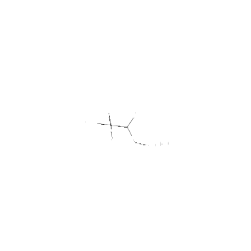 O=CCC(F)C(F)(F)C(F)(F)F